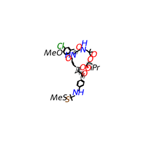 COc1ccc(C[C@H]2NC(=O)C=CC[C@@H]([C@H](C)[C@H]3O[C@@H]3c3ccc(CNCC(C)(C)SSC)cc3)OC(=O)[C@H](CC(C)C)OC(=O)C(C)(C)CNC2=O)cc1Cl